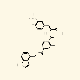 O=C(O)C(=Cc1ccc2nn[nH]c2c1)NC(=O)c1ccc(C(=O)NCc2cccc3[nH]ccc23)cc1Br